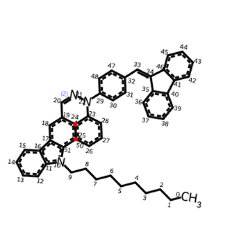 CCCCCCCCCCn1c2ccccc2c2cc(/C=N\N(c3ccccc3)c3ccc(C=C4c5ccccc5-c5ccccc54)cc3)ccc21